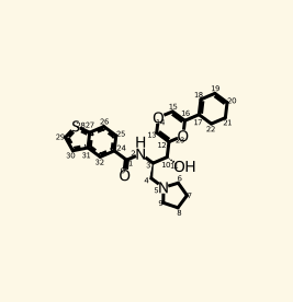 O=C(N[C@H](CN1CCCC1)[C@@H](O)C1=COC=C(C2=CC=CCC2)O1)c1ccc2sccc2c1